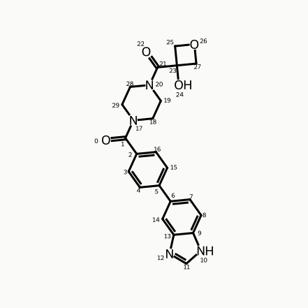 O=C(c1ccc(-c2ccc3[nH]cnc3c2)cc1)N1CCN(C(=O)C2(O)COC2)CC1